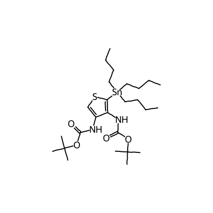 CCC[CH2][Sn]([CH2]CCC)([CH2]CCC)[c]1scc(NC(=O)OC(C)(C)C)c1NC(=O)OC(C)(C)C